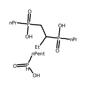 CCCCC[PH](=O)O.CCCP(=O)(O)CC(CC)P(=O)(O)CCC